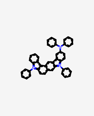 c1ccc(N(c2ccccc2)c2ccc3c(c2)c2cc4c(ccc5c4c4ccccc4n5-c4ccccc4)cc2n3-c2ccccc2)cc1